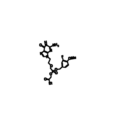 CCC(=O)COP(=O)(COCCn1cnc2c(=O)[nH]c(N)nc21)OCc1ccc(OC)c(F)c1